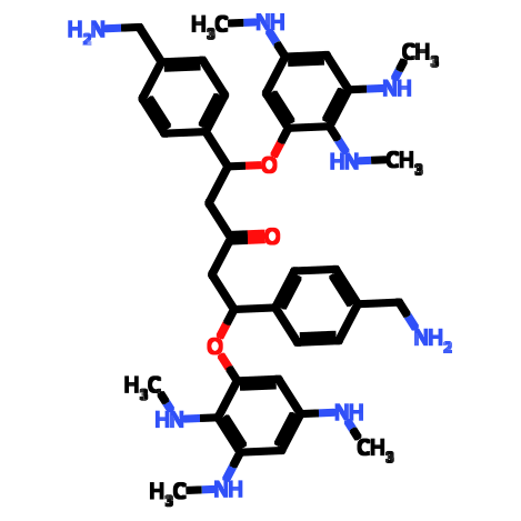 CNc1cc(NC)c(NC)c(OC(CC(=O)CC(Oc2cc(NC)cc(NC)c2NC)c2ccc(CN)cc2)c2ccc(CN)cc2)c1